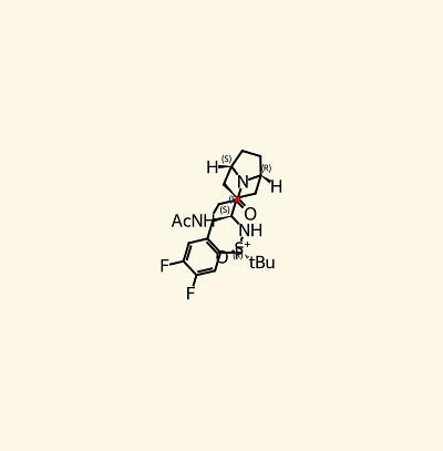 CC(=O)NCC(=O)N1[C@@H]2CC[C@H]1C[C@H]([C@H](Cc1cc(F)c(F)cc1F)N[S@@+]([O-])C(C)(C)C)C2